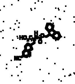 N#Cc1cnc2cc(C[C@H](NC(=O)OCC3c4ccccc4-c4ccccc43)C(=O)O)ccc2c1